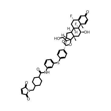 C[C@]12C=CC(=O)C=C1[C@@H](F)C[C@H]1[C@@H]3C[C@H]4O[C@@H](c5ccc(Sc6cccc(NC(=O)C7CCC(CN8C(=O)C=CC8=O)CC7)c6)cc5)O[C@@]4(C(=O)CO)[C@@]3(C)C[C@H](O)[C@@]12F